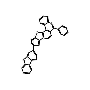 c1ccc(-c2nc3ccccc3c3c2ccc2c4cc(-c5ccc6c(c5)sc5ccccc56)ccc4oc23)cc1